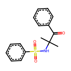 CC(C)(NS(=O)(=O)c1ccccc1)C(=O)c1ccccc1